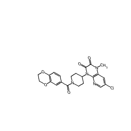 Cn1c(=O)c(=O)n(C2CCN(C(=O)c3ccc4c(c3)OCCO4)CC2)c2ncc(Cl)cc21